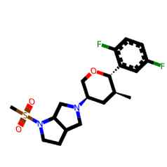 C[C@H]1C[C@@H](N2CC3CCN(S(C)(=O)=O)C3C2)CO[C@@H]1c1cc(F)ccc1F